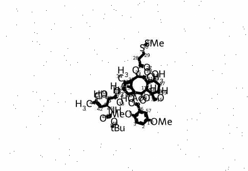 COc1ccc(OC)c(C(=O)O[C@H]2[C@@H]3[C@]4(OC(C)=O)CO[C@@H]4CC(O)[C@@]3(C)C(=O)[C@H](OC(=O)CCSSC)C3=C(C)[C@@H](OC(=O)[C@H](O)[C@H](C=C(C)C)NC(=O)OC(C)(C)C)C[C@]2(O)C3(C)C)c1